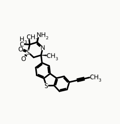 CC#Cc1ccc2sc3ccc([C@]4(C)CS(=O)(=O)C(C)(C)C(N)=N4)cc3c2c1